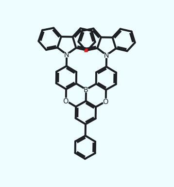 c1ccc(-c2cc3c4c(c2)Oc2ccc(-n5c6ccccc6c6ccccc65)cc2B4c2cc(-n4c5ccccc5c5ccccc54)ccc2O3)cc1